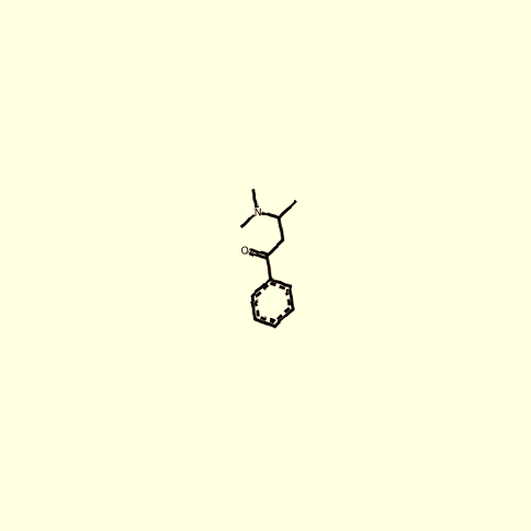 CC(CC(=O)c1ccccc1)N(C)C